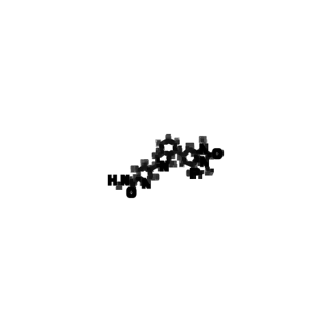 CC(C)c1cc(-c2cccc3cc(-c4ccc(C(N)=O)nc4)ncc23)cc2c1n(C)c(=O)n2C